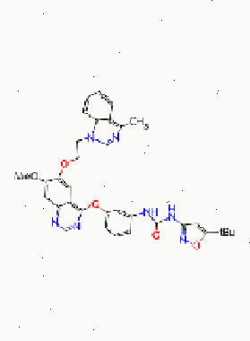 COc1cc2ncnc(Oc3cccc(NC(=O)Nc4cc(C(C)(C)C)on4)c3)c2cc1OCCN1C=NC(C)=C2C=CC=CC21